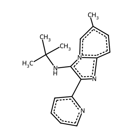 Cc1ccc2nc(-c3ccccn3)c(NC(C)(C)C)n2c1